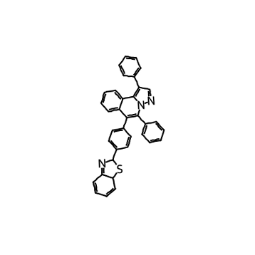 C1=CC2=NC(c3ccc(-c4c(-c5ccccc5)n5ncc(-c6ccccc6)c5c5ccccc45)cc3)SC2C=C1